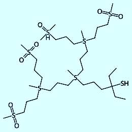 CCC(S)(CC)CCCS(C)(CCCS(C)(CCCS(C)(=O)=O)CCCS(C)(=O)=O)CCCS(C)(CCCS(C)(=O)=O)CCC[SH](C)(C)=O